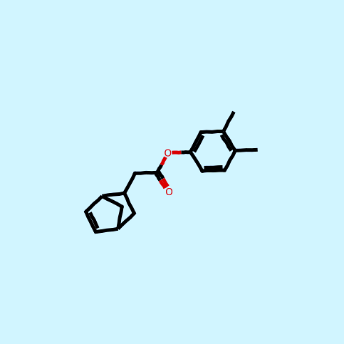 Cc1ccc(OC(=O)CC2CC3C=CC2C3)cc1C